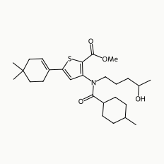 COC(=O)c1sc(C2=CCC(C)(C)CC2)cc1N(CCCC(C)O)C(=O)C1CCC(C)CC1